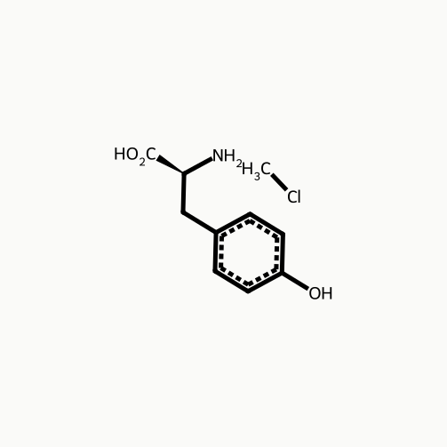 CCl.N[C@@H](Cc1ccc(O)cc1)C(=O)O